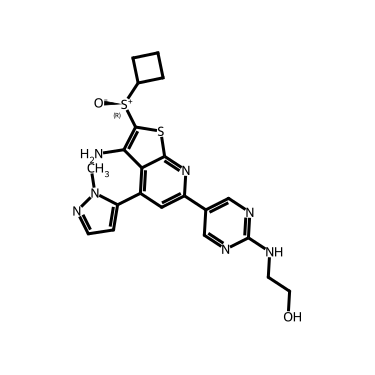 Cn1nccc1-c1cc(-c2cnc(NCCO)nc2)nc2sc([S@@+]([O-])C3CCC3)c(N)c12